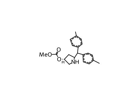 COC(=O)O[C@H]1CNC(C(c2ccc(C)cc2)c2ccc(C)cc2)C1